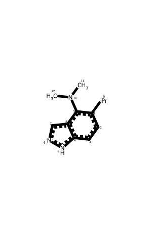 CC(C)c1ccc2[nH]ncc2c1N(C)C